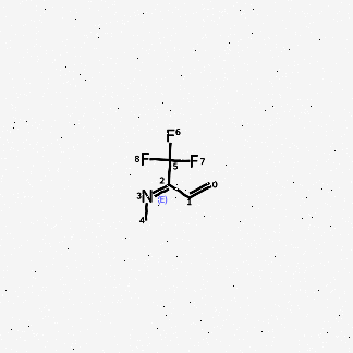 C=C/C(=N\C)C(F)(F)F